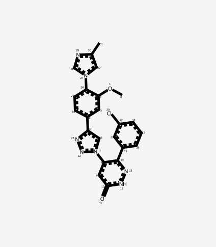 COc1cc(-c2cn(-c3cc(=O)[nH]nc3-c3cccc(Cl)c3)nn2)ccc1-n1cnc(C)c1